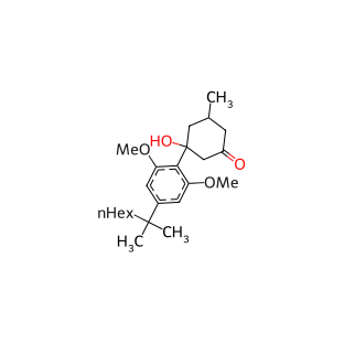 CCCCCCC(C)(C)c1cc(OC)c(C2(O)CC(=O)CC(C)C2)c(OC)c1